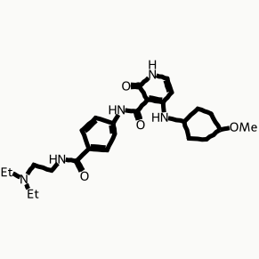 CCN(CC)CCNC(=O)c1ccc(NC(=O)c2c(NC3CCC(OC)CC3)cc[nH]c2=O)cc1